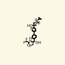 O=C(N[C@H](CF)[C@@H](O)c1ccc(-c2ccc(C3(O)CN(S(=O)(=O)C4CC4)C3)nc2)cc1)C(F)F